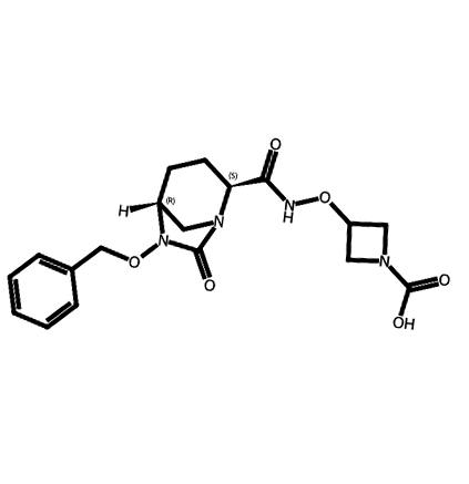 O=C(NOC1CN(C(=O)O)C1)[C@@H]1CC[C@@H]2CN1C(=O)N2OCc1ccccc1